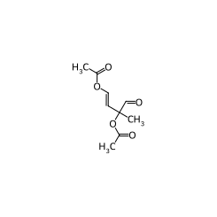 CC(=O)OC=CC(C)(C=O)OC(C)=O